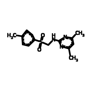 Cc1ccc(S(=O)(=O)CNc2nc(C)cc(C)n2)cc1